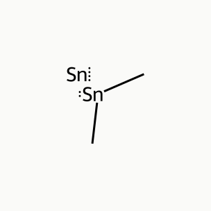 [CH3][Sn][CH3].[Sn]